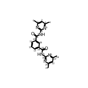 Cc1cc(C)nc(NC(=O)c2cccc(C(=O)Nc3nc(C)cc(C)n3)c2)n1